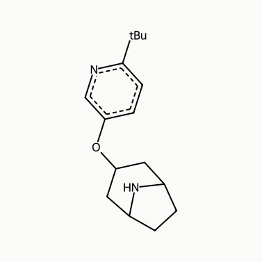 CC(C)(C)c1ccc(OC2CC3CCC(C2)N3)cn1